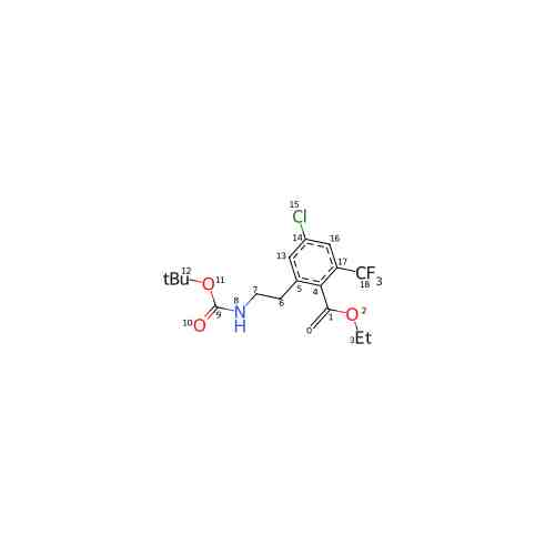 C=C(OCC)c1c(CCNC(=O)OC(C)(C)C)cc(Cl)cc1C(F)(F)F